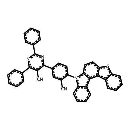 N#Cc1cc(-c2nc(-c3ccccc3)nc(-c3ccccc3)c2C#N)ccc1-n1c2ccccc2c2c3c(ccc21)sc1ccccc13